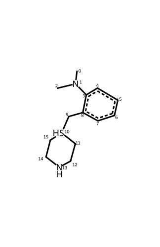 CN(C)c1c[c]ccc1C[SH]1CCNCC1